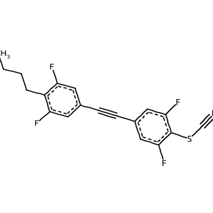 CCCCc1c(F)cc(C#Cc2cc(F)c(SC#N)c(F)c2)cc1F